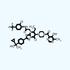 CCc1c(N2CCN(C(=O)c3ncnc(C)c3O)CC2)c(=O)n2nc(-c3ccc(C(C)(O)C4CC4)cc3)nc2n1CC(=O)Nc1ccc(C(F)(F)F)cc1Cl